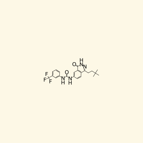 CC(C)(C)CCc1n[nH]c(=O)c2cc(NC(=O)Nc3cccc(C(F)(F)F)c3)ccc12